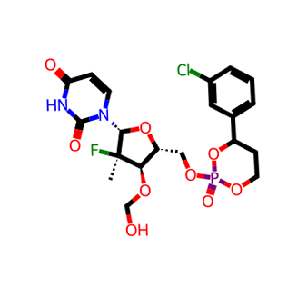 C[C@@]1(F)[C@H](OCO)[C@@H](COP2(=O)OCCC(c3cccc(Cl)c3)O2)O[C@H]1n1ccc(=O)[nH]c1=O